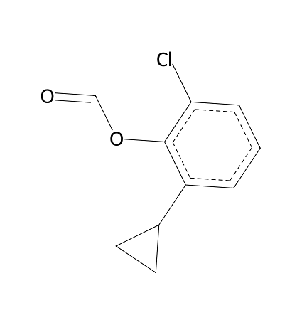 O=COc1c(Cl)cccc1C1CC1